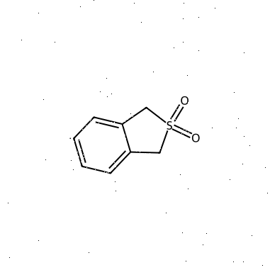 O=S1(=O)Cc2c[c]ccc2C1